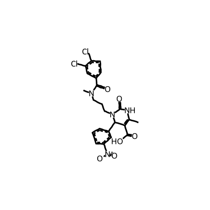 CC1=C(C(=O)O)C(c2cccc([N+](=O)[O-])c2)N(CCCN(C)C(=O)c2ccc(Cl)c(Cl)c2)C(=O)N1